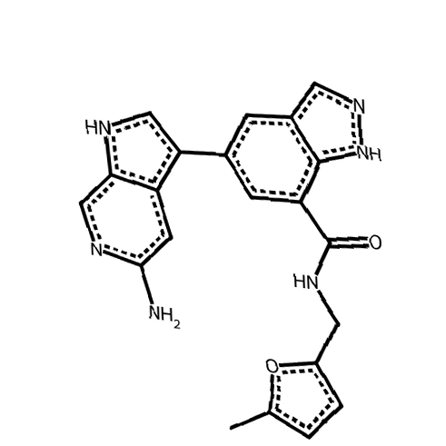 Cc1ccc(CNC(=O)c2cc(-c3c[nH]c4cnc(N)cc34)cc3cn[nH]c23)o1